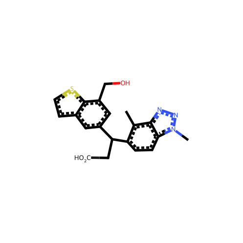 Cc1c(C(CC(=O)O)c2cc(CO)c3sccc3c2)ccc2c1nnn2C